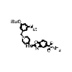 CCOc1cc(CN2CCC(Nc3nc4cc(S(N)(=O)=O)ccc4o3)CC2)cc(OCC(C)C)c1